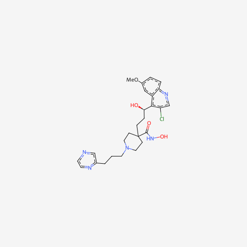 COc1ccc2ncc(Cl)c([C@H](O)CCC3(C(=O)NO)CCN(CCCc4cnccn4)CC3)c2c1